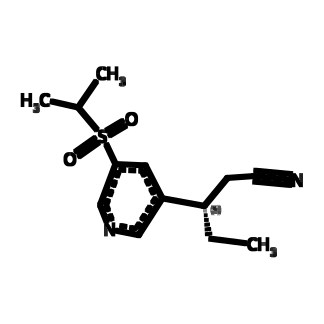 CC[C@@H](CC#N)c1cncc(S(=O)(=O)C(C)C)c1